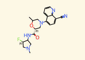 CC1CN(c2ccc(C#N)c3ncccc23)C[C@H](C(=O)NC2CN(C)C[C@H]2F)O1